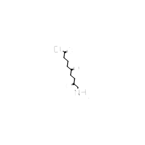 CCC(=O)CCCC(=O)CCC(=O)CN